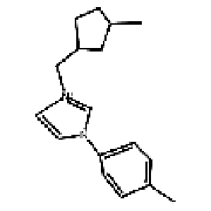 Cc1ccc(-n2cc[n+](CC3CCC(C)C3)c2)cc1